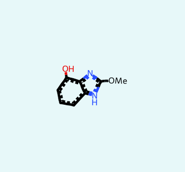 COc1nc2c(O)cccc2[nH]1